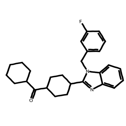 O=C(C1CCCCC1)C1CCC(c2nc3ccccc3n2Cc2cccc(F)c2)CC1